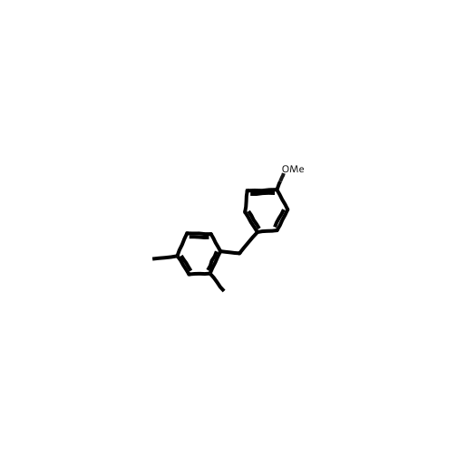 COc1ccc(Cc2ccc(C)cc2C)cc1